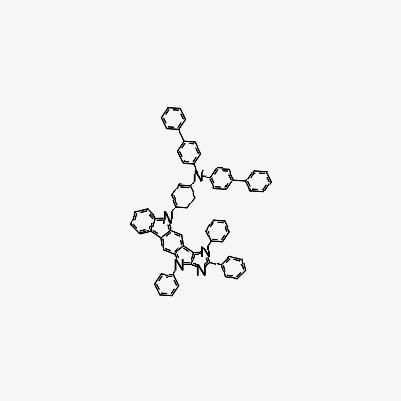 C1=C(N(c2ccc(-c3ccccc3)cc2)c2ccc(-c3ccccc3)cc2)CCC(n2c3ccccc3c3cc4c(cc32)c2c(nc(-c3ccccc3)n2-c2ccccc2)n4-c2ccccc2)=C1